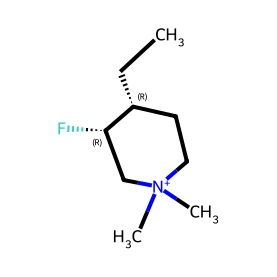 CC[C@@H]1CC[N+](C)(C)C[C@@H]1F